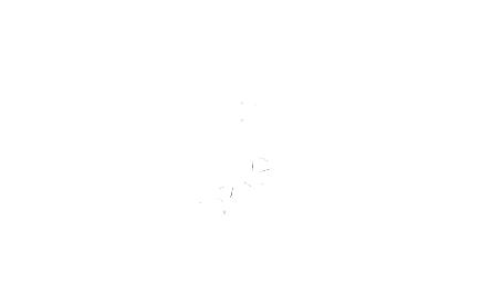 O=c1cc(-c2ccc(O)c(O)c2)oc2cc(O[C@@H]3O[C@H](CO)[C@@H](O)[C@H](O)[C@H]3O[C@@H]3OC[C@](O)(CO)[C@H]3O)cc(O)c12